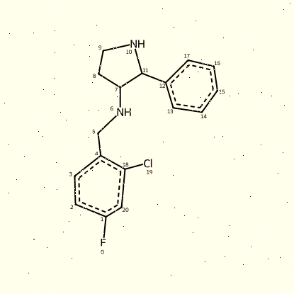 Fc1ccc(CNC2CCNC2c2ccccc2)c(Cl)c1